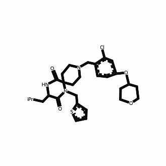 CC(C)CC1NC(=O)C2(CCN(Cc3ccc(OC4CCOCC4)cc3Cl)CC2)N(Cc2cccs2)C1=O